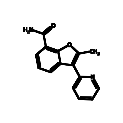 Cc1oc2c(C(N)=O)cccc2c1-c1ccccn1